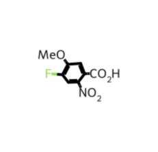 COc1cc(C(=O)O)c([N+](=O)[O-])cc1F